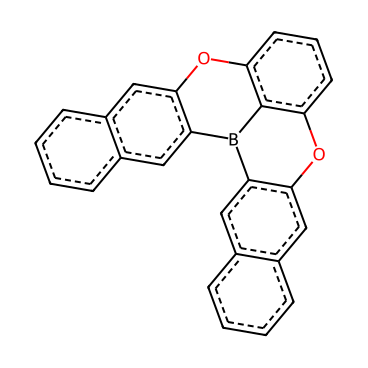 c1cc2c3c(c1)Oc1cc4ccccc4cc1B3c1cc3ccccc3cc1O2